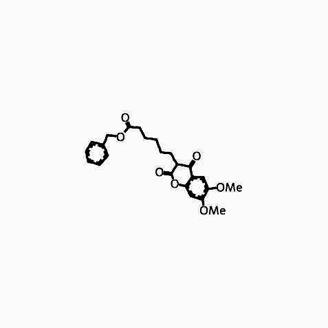 COc1cc2c(cc1OC)C(=O)C(CCCCCC(=O)OCc1ccccc1)C(=O)O2